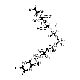 CC[N+](C)(CC)CC.CC[N+](C)(CC)CC.CC[N+](C)(CC)CC.O=C(O)C(=O)O.O=C(O)C(=O)O.O=C(O)C(=O)O.O=C(O)C(C(=O)O)(C(F)(F)F)C(F)(F)F.O=C(O)C(C(=O)O)(C(F)(F)F)C(F)(F)F.O=C([O-])C(C(=O)[O-])(C(F)(F)F)C(F)(F)F.[O-]B(O)O